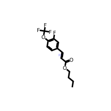 CCCCOC(=O)/C=C/c1ccc(OC(F)(F)F)c(F)c1